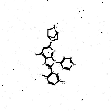 Cc1cc(N2CC3CC2CN3)nc2c1nc(-c1cc(Cl)ccc1F)n2-c1ccncc1